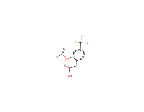 CC(=O)Oc1cc(C(F)(F)F)ccc1CC(=O)O